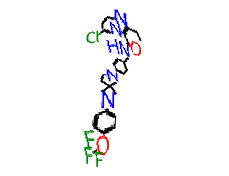 CCc1nc2ccc(Cl)cn2c1C(=O)NCc1ccc(N2CCC3(C2)CN(c2ccc(OC(F)(F)F)cc2)C3)cc1